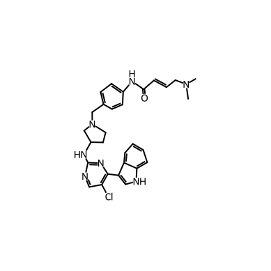 CN(C)CC=CC(=O)Nc1ccc(CN2CCC(Nc3ncc(Cl)c(-c4c[nH]c5ccccc45)n3)C2)cc1